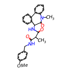 COc1ccc(CNC(=O)C(C)C(=O)NC2C(=O)N(C)c3ccccc3-c3ccccc32)cc1